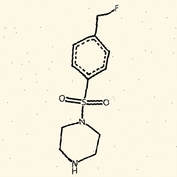 O=S(=O)(c1ccc(CF)cc1)N1CCNCC1